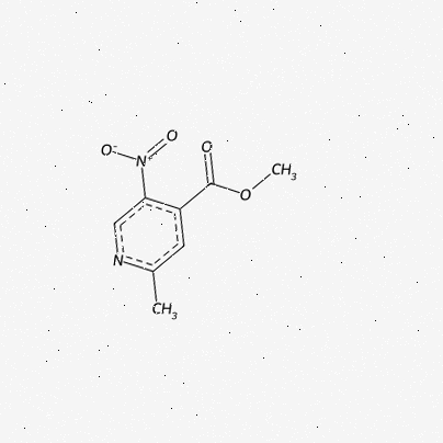 COC(=O)c1cc(C)ncc1[N+](=O)[O-]